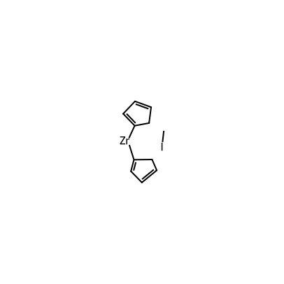 C1=CC[C]([Zr][C]2=CC=CC2)=C1.CI